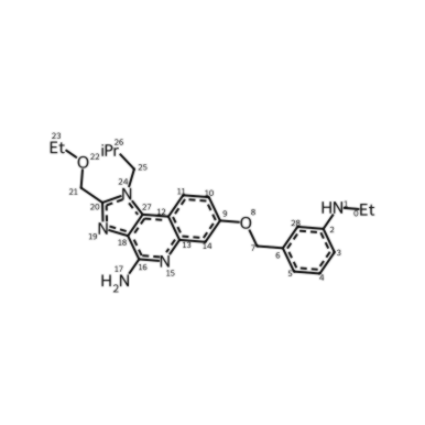 CCNc1cccc(COc2ccc3c(c2)nc(N)c2nc(COCC)n(CC(C)C)c23)c1